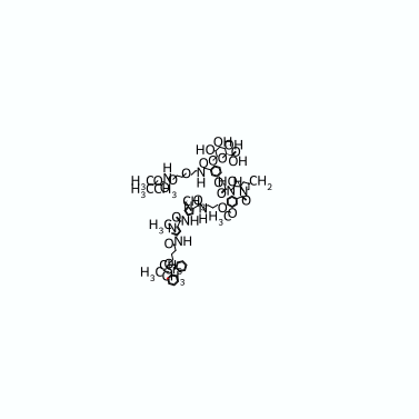 C=C1C[C@H]2C(O)N(C(=O)COc3ccc(O[C@@H]4O[C@H](C(=O)O)[C@@H](O)[C@H](O)[C@H]4O)c(C(=O)NCCOCCONC(=O)OC(C)(C)C)c3)c3cc(OCCCNC(=O)c4cc(NC(=O)c5cc(NC(=O)CCCO[Si](c6ccccc6)(c6ccccc6)C(C)(C)C)cn5C)cn4C)c(OC)cc3C(=O)N2C1